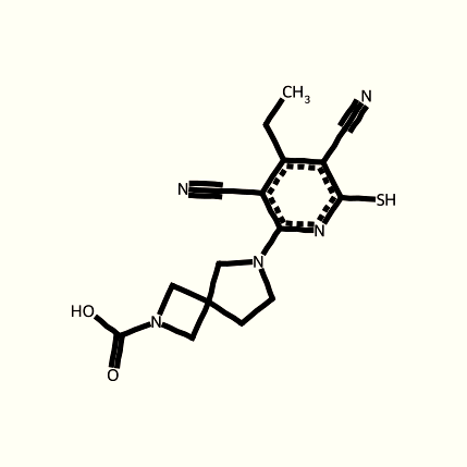 CCc1c(C#N)c(S)nc(N2CCC3(CN(C(=O)O)C3)C2)c1C#N